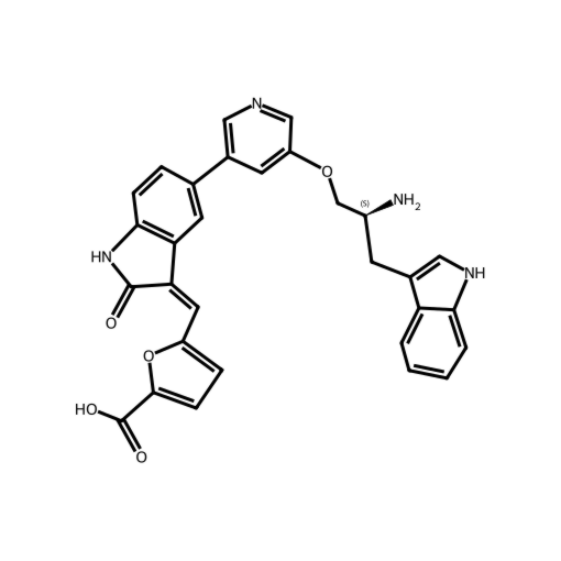 N[C@H](COc1cncc(-c2ccc3c(c2)C(=Cc2ccc(C(=O)O)o2)C(=O)N3)c1)Cc1c[nH]c2ccccc12